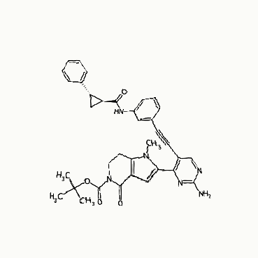 Cn1c(-c2nc(N)ncc2C#Cc2cccc(NC(=O)[C@H]3C[C@@H]3c3ccccc3)c2)cc2c1CCN(C(=O)OC(C)(C)C)C2=O